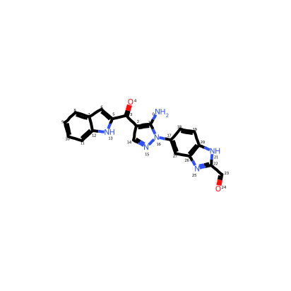 Nc1c(C(=O)c2cc3ccccc3[nH]2)cnn1-c1ccc2[nH]c(C=O)nc2c1